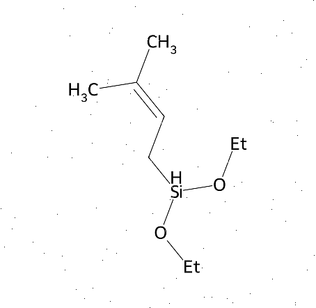 CCO[SiH](CC=C(C)C)OCC